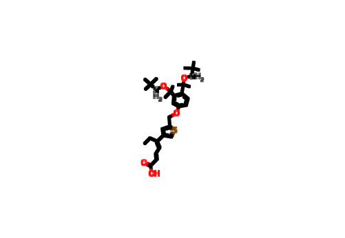 CCC(=CC=CC(=O)O)c1csc(COc2ccc(C(C)(C)O[SiH2]C(C)(C)C)c(C(C)(C)O[SiH2]C(C)(C)C)c2)c1